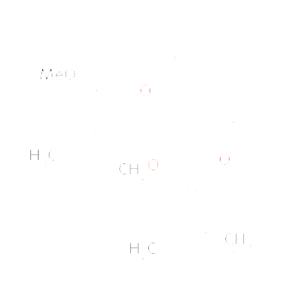 C=C(C)C(=O)OC.C=C(C)C(=O)OC1CCCCC1